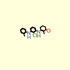 CC1=C(Nc2cccc(Nc3ccccc3C)c2Cl)CCCC1=O